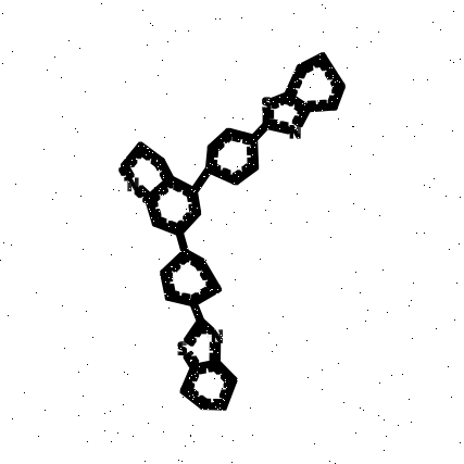 c1ccc2sc(-c3ccc(-c4cc(-c5ccc(-c6nc7ccccc7s6)cc5)c5cccnc5c4)cc3)nc2c1